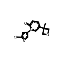 CC1(c2ccc(=O)n(-c3csc(Cl)c3)c2)COC1